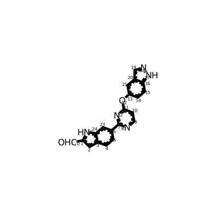 O=Cc1cc2ccc(-c3nccc(Oc4ccc5[nH]ncc5c4)n3)cc2[nH]1